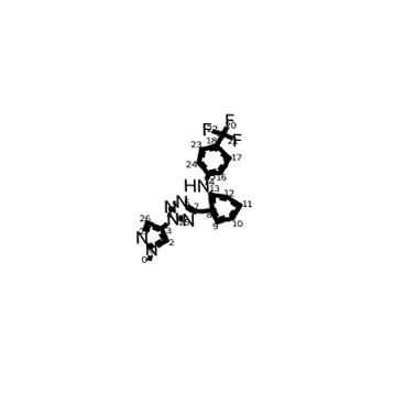 Cn1cc(-n2nnc(-c3ccccc3Nc3ccc(C(F)(F)F)cc3)n2)cn1